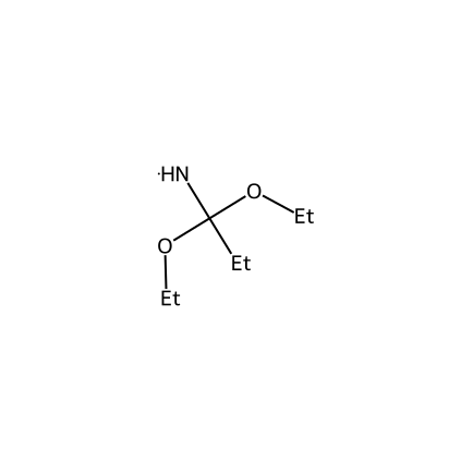 CCOC([NH])(CC)OCC